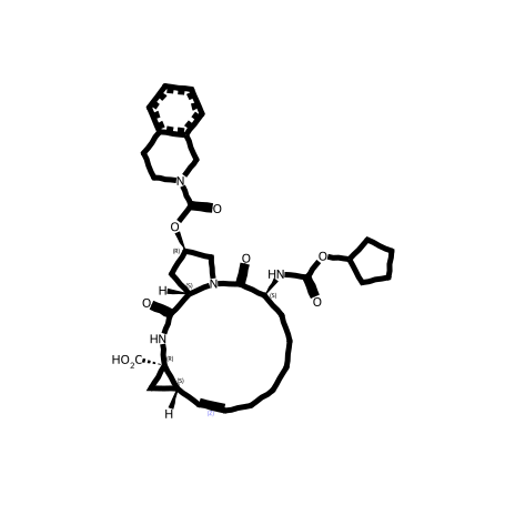 O=C(N[C@H]1CCCCC/C=C\[C@@H]2C[C@@]2(C(=O)O)NC(=O)[C@@H]2C[C@@H](OC(=O)N3CCc4ccccc4C3)CN2C1=O)OC1CCCC1